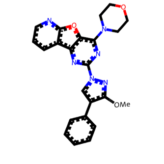 COc1nn(-c2nc(N3CCOCC3)c3oc4ncccc4c3n2)cc1-c1ccccc1